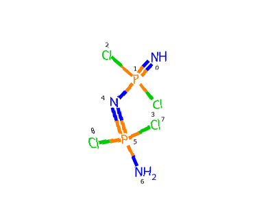 N=P(Cl)(Cl)N=P(N)(Cl)Cl